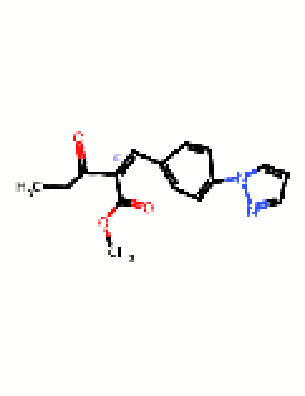 CCC(=O)/C(=C/c1ccc(-n2cccn2)cc1)C(=O)OC